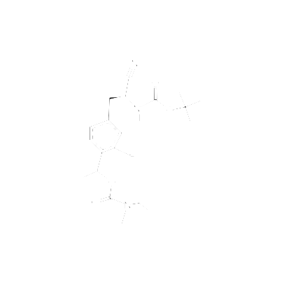 CCN(C)C(=O)OC(C)c1ccc(C[C@@H](C#N)NC(=O)OC(C)(C)C)cc1F